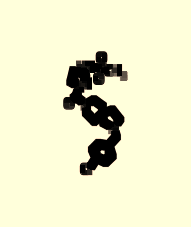 CS(=O)(=O)Nc1ccn(C(=O)N2CCC3(CCN(Cc4ccc(Cl)cc4)C3)CC2)n1